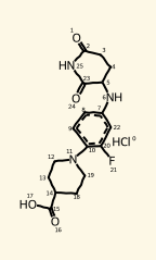 Cl.O=C1CCC(Nc2ccc(N3CCC(C(=O)O)CC3)c(F)c2)C(=O)N1